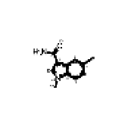 Cc1ccc2c(c1)c(C(N)=O)cn2C